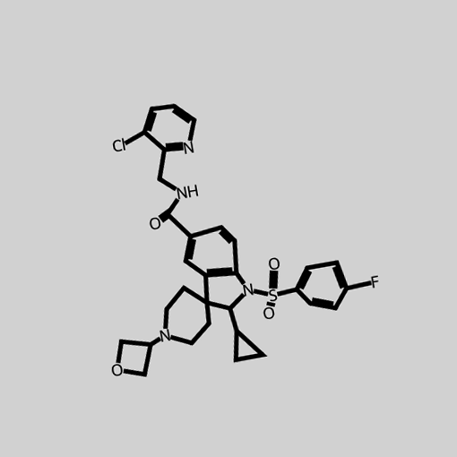 O=C(NCc1ncccc1Cl)c1ccc2c(c1)C1(CCN(C3COC3)CC1)C(C1CC1)N2S(=O)(=O)c1ccc(F)cc1